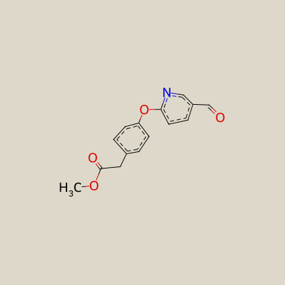 COC(=O)Cc1ccc(Oc2ccc(C=O)cn2)cc1